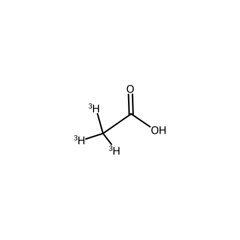 [3H]C([3H])([3H])C(=O)O